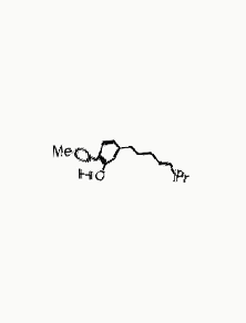 COc1ccc(CCCCCC(C)C)cc1O